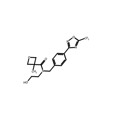 CC1(C(=O)N(CCO)Cc2ccc(-c3noc(C(F)(F)F)n3)cc2)COC1